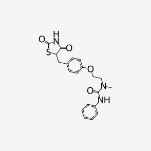 CN(CCOc1ccc(CC2SC(=O)NC2=O)cc1)C(=O)Nc1ccccc1